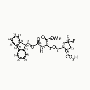 COC(=O)C(COCC1CC(F)(F)CN1C(=O)O)NC(=O)OCC1c2ccccc2-c2ccccc21